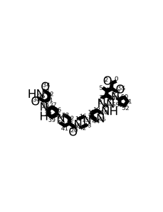 CC(=O)c1c(C)c2cnc(Nc3ccc(N4CCN(C(=O)C5CCN(c6ccc(NC7CCC(=O)NC7=O)cc6)CC5)CC4)cn3)nc2n(C2CCCC2)c1=O